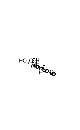 CCC(C)C(COc1ccc(-c2cc3ccccc3o2)cc1)Nc1ccc(C(=O)NCC(O)C(=O)O)cc1